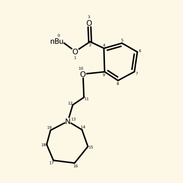 CCCCOC(=O)c1ccccc1OCCN1CCCCCC1